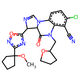 COC1(c2noc(C3N=CN4c5ccc(Cl)c(C#N)c5N(CC5CCCO5)C(=O)C34)n2)CCCC1